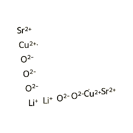 [Cu+2].[Cu+2].[Li+].[Li+].[O-2].[O-2].[O-2].[O-2].[O-2].[Sr+2].[Sr+2]